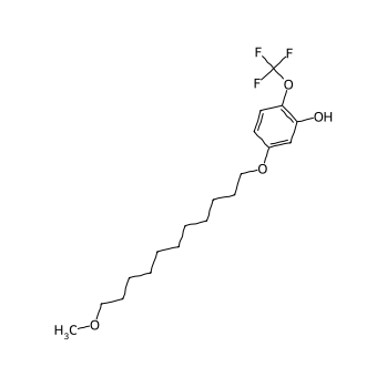 COCCCCCCCCCCCOc1ccc(OC(F)(F)F)c(O)c1